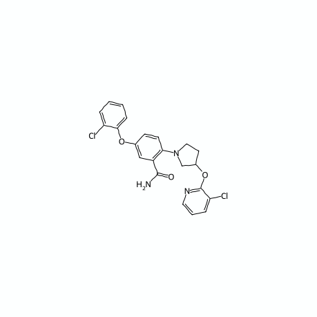 NC(=O)c1cc(Oc2ccccc2Cl)ccc1N1CCC(Oc2ncccc2Cl)C1